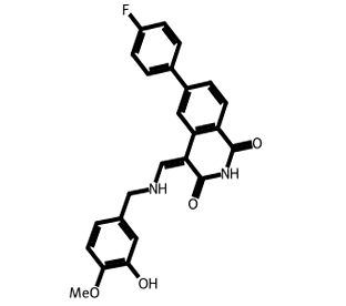 COc1ccc(CNC=C2C(=O)NC(=O)c3ccc(-c4ccc(F)cc4)cc32)cc1O